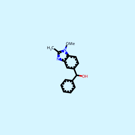 COn1c(C)nc2cc(C(O)c3ccccc3)ccc21